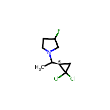 CC([C@H]1CC1(Cl)Cl)N1CCC(F)C1